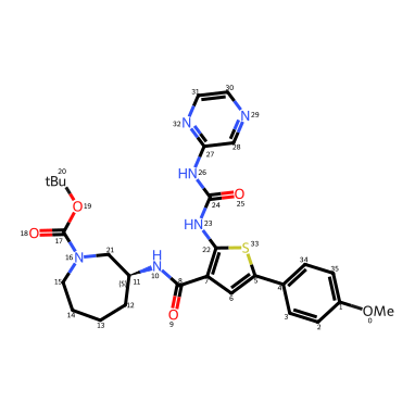 COc1ccc(-c2cc(C(=O)N[C@H]3CCCCN(C(=O)OC(C)(C)C)C3)c(NC(=O)Nc3cnccn3)s2)cc1